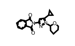 O=C1c2ccccc2C(=O)N1c1cc(C2CC2)n(C2CCCCO2)n1